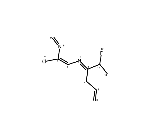 C=CC/C(=N\C=C(\Cl)N=C)C(C)F